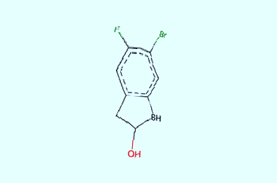 OC1Bc2cc(Br)c(F)cc2C1